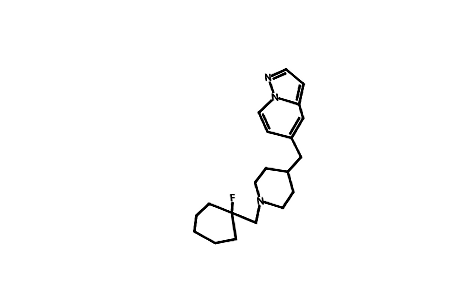 FC1(CN2CCC(Cc3ccn4nccc4c3)CC2)CCCCC1